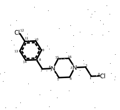 ClCCN1CCN(Cc2ccc(Cl)cc2)CC1